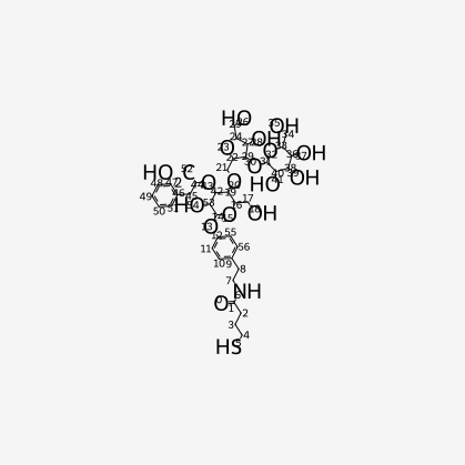 O=C(CCCS)NCCc1ccc(OC2OC(CO)C(OCC3OC(CO)C(O)C3OC3OC(CO)C(O)C(O)C3O)C(OC(Cc3ccccc3)C(=O)O)C2O)cc1